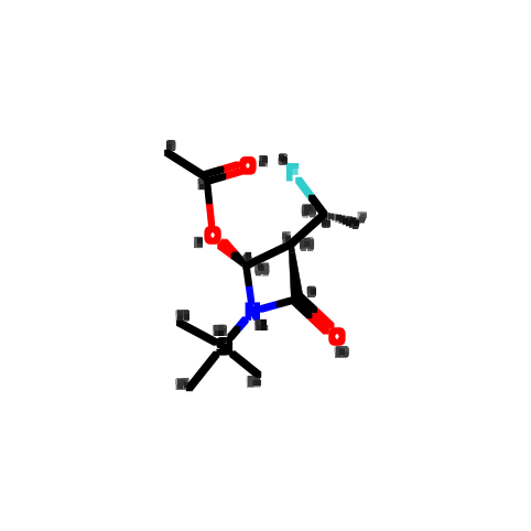 CC(=O)O[C@H]1[C@@H]([C@@H](C)F)C(=O)N1[Si](C)(C)C